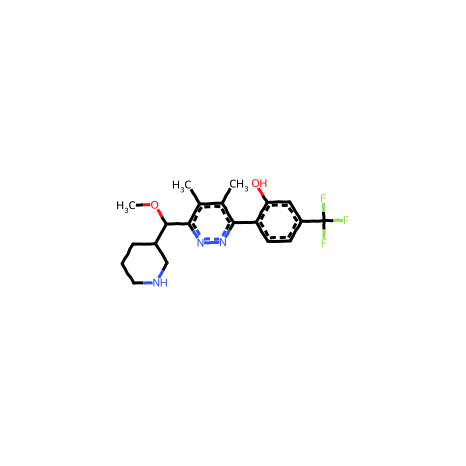 COC(c1nnc(-c2ccc(C(F)(F)F)cc2O)c(C)c1C)C1CCCNC1